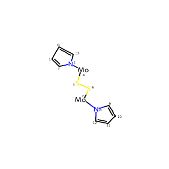 c1cc[n]([Mo][S][S][Mo][n]2cccc2)c1